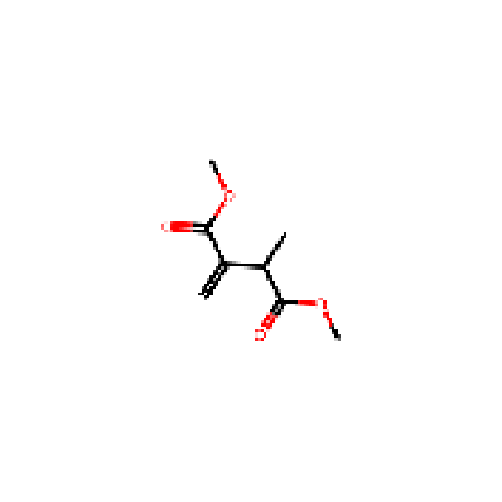 C=C(C(=O)OC)C(C)C(=O)OC